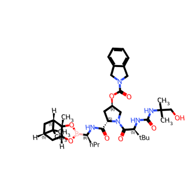 CCC[C@H](NC(=O)[C@@H]1C[C@@H](OC(=O)N2Cc3ccccc3C2)CN1C(=O)[C@@H](NC(=O)NC(C)(C)CO)C(C)(C)C)B1O[C@@H]2C[C@@H]3C[C@@H](C3(C)C)[C@]2(C)O1